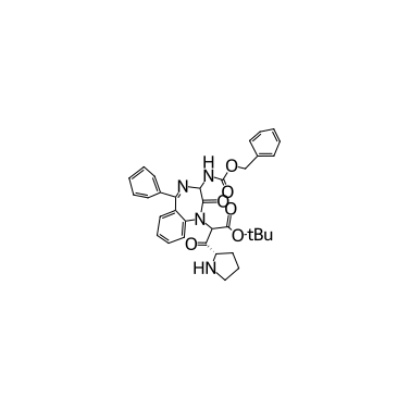 CC(C)(C)OC(=O)C(C(=O)[C@@H]1CCCN1)N1C(=O)C(NC(=O)OCc2ccccc2)N=C(c2ccccc2)c2ccccc21